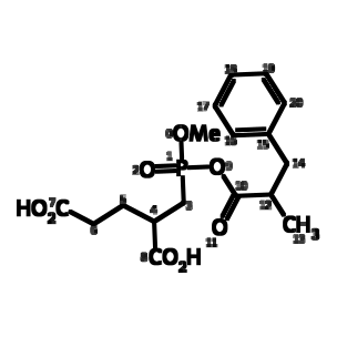 COP(=O)(CC(CCC(=O)O)C(=O)O)OC(=O)C(C)Cc1ccccc1